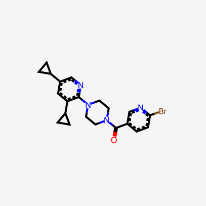 O=C(c1ccc(Br)nc1)N1CCN(c2ncc(C3CC3)cc2C2CC2)CC1